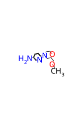 CCOCC1CN(c2ccc(N)cn2)CCO1